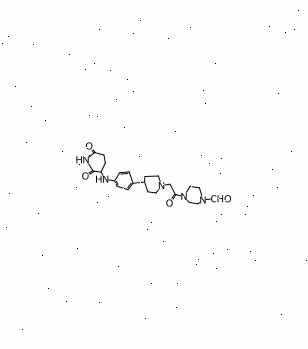 O=CN1CCN(C(=O)CN2CCC(c3ccc(NC4CCC(=O)NC4=O)cc3)CC2)CC1